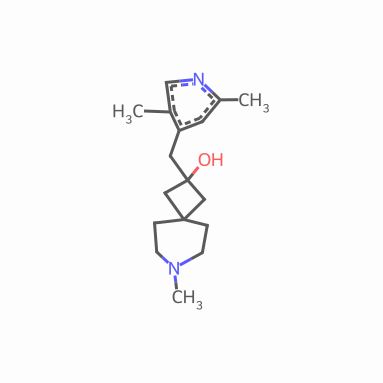 Cc1cc(CC2(O)CC3(CCN(C)CC3)C2)c(C)cn1